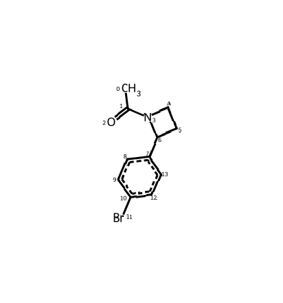 CC(=O)N1CCC1c1ccc(Br)cc1